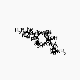 Nc1ncnc2c1ncn2[C@@H]1OC2CO[P@@](=O)(S)O[C@H]3[C@@H](F)[C@H](n4cnc5c(N)ncnc54)O[C@@H]3CO[P@@](=O)(S)O[C@H]2[C@H]1O